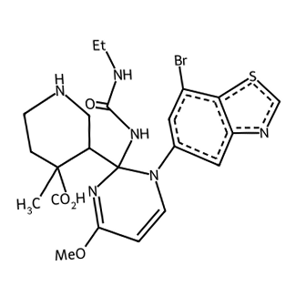 CCNC(=O)NC1(C2CNCCC2(C)C(=O)O)N=C(OC)C=CN1c1cc(Br)c2scnc2c1